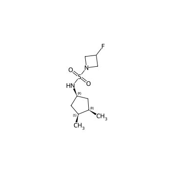 C[C@@H]1C[C@H](NS(=O)(=O)N2CC(F)C2)C[C@@H]1C